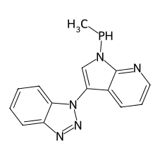 CPn1cc(-n2nnc3ccccc32)c2cccnc21